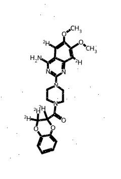 [2H]c1c(OC)c(OC)c([2H])c2c(N)nc(N3CCN(C(=O)C4([2H])Oc5ccccc5OC4([2H])[2H])CC3)nc12